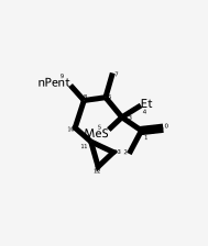 C=C(C)C(CC)(SC)C(C)C(CCCCC)CC1CC1